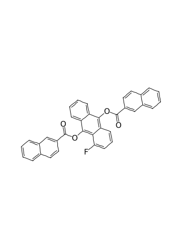 O=C(Oc1c2ccccc2c(OC(=O)c2ccc3ccccc3c2)c2c(F)cccc12)c1ccc2ccccc2c1